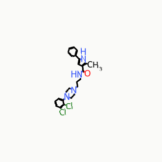 Cc1[nH]c(-c2ccccc2)cc1C(=O)NCCCN1CCN(c2cccc(Cl)c2Cl)CC1